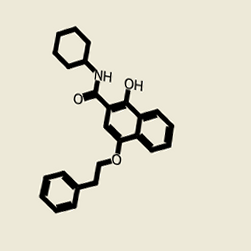 O=C(NC1CCCCC1)c1cc(OCCc2ccccc2)c2ccccc2c1O